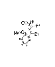 CCC(C=C(F)C(=O)O)c1ccccc1OC